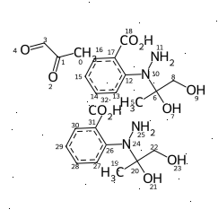 CC(=O)C=O.CC(O)(CO)N(N)c1ccccc1C(=O)O.CC(O)(CO)N(N)c1ccccc1C(=O)O